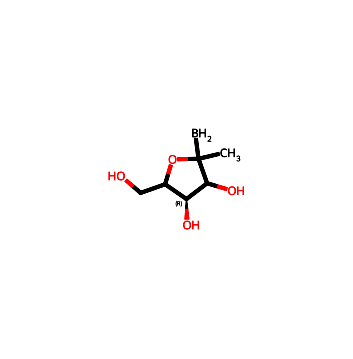 BC1(C)OC(CO)[C@H](O)C1O